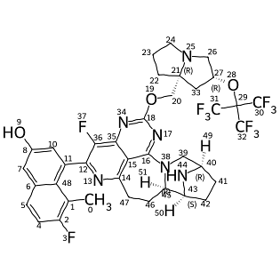 Cc1c(F)ccc2cc(O)cc(-c3nc4c5c(nc(OC[C@]67CCCN6C[C@H](OC(C(F)(F)F)(C(F)(F)F)C(F)(F)F)C7)nc5c3F)N3C[C@H]5CC[C@H](N5)[C@H]3CC4)c12